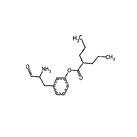 CCCC(CCC)C(=O)Oc1cccc(CC(N)C=O)c1